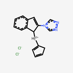 C1=CC[C]([Hf+2][CH]2C(n3cnnc3)=Cc3ccccc32)=C1.[Cl-].[Cl-]